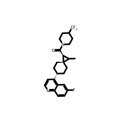 CC1[C@H](C(=O)N2CCC(C(F)(F)F)CC2)[C@]12CC[C@@H](c1ccnc3ccc(F)cc31)CC2